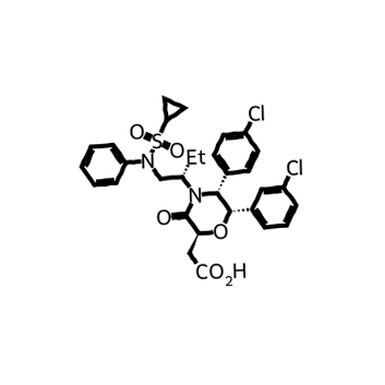 CC[C@@H](CN(c1ccccc1)S(=O)(=O)C1CC1)N1C(=O)[C@H](CC(=O)O)O[C@@H](c2cccc(Cl)c2)[C@H]1c1ccc(Cl)cc1